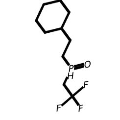 O=[PH](CCC1CCCCC1)CC(F)(F)F